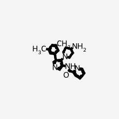 Cc1cc(C)cc(-c2cncc(NC(=O)c3ccccn3)c2N2CCC(N)CC2)c1